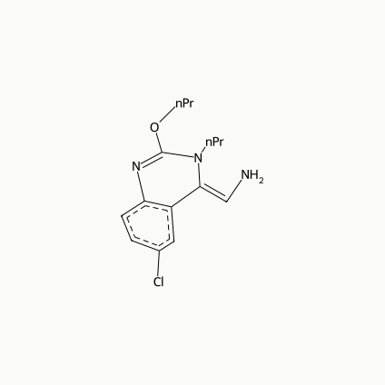 CCCOC1=Nc2ccc(Cl)cc2C(=CN)N1CCC